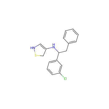 Clc1cccc(C(Cc2ccccc2)NC2=CNSC2)c1